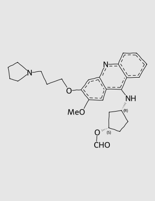 COc1cc2c(N[C@@H]3CC[C@H](OC=O)C3)c3ccccc3nc2cc1OCCCN1CCCC1